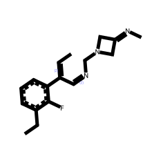 C/C=C(\C=N/CN1CC(=NC)C1)c1cccc(CC)c1F